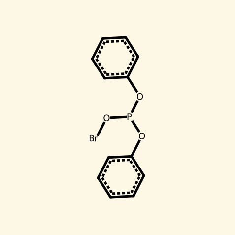 BrOP(Oc1ccccc1)Oc1ccccc1